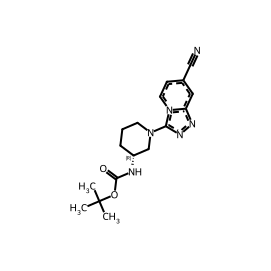 CC(C)(C)OC(=O)N[C@@H]1CCCN(c2nnc3cc(C#N)ccn23)C1